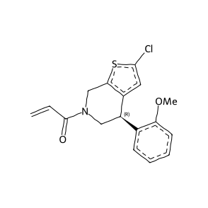 C=CC(=O)N1Cc2sc(Cl)cc2[C@@H](c2ccccc2OC)C1